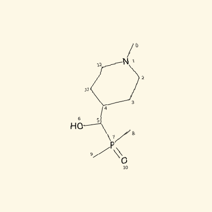 CN1CCC(C(O)P(C)(C)=O)CC1